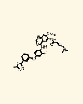 COc1cc2ncnc(Nc3ccc(Oc4cccc(-c5nnc(C)o5)c4)cc3F)c2cc1NC(=O)/C=C/CN(C)C